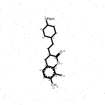 CCCCCC1CCC(CCC2Cc3ccc(C)c(F)c3OC2=O)CC1